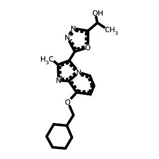 Cc1nc2c(OCC3CCCCC3)cccn2c1-c1nnc(C(C)O)o1